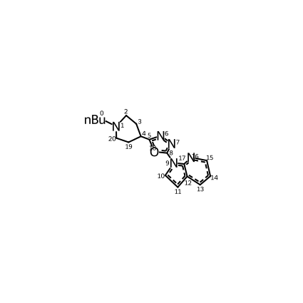 CCCCN1CCC(c2nnc(-n3ccc4cccnc43)o2)CC1